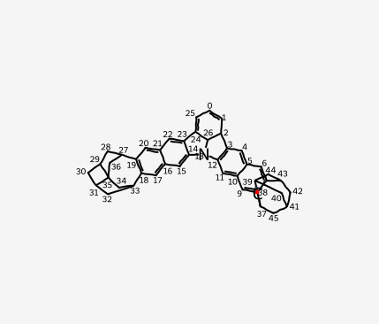 C1=CC2c3cc4cc5c(cc4cc3N3c4cc6cc7c(cc6cc4C(=C1)C23)C1CC2CC3CC7CC23C1)C1CC2CC(CC5C2)C1